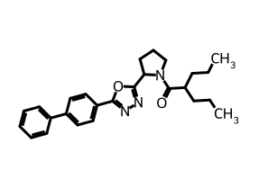 CCCC(CCC)C(=O)N1CCCC1c1nnc(-c2ccc(-c3ccccc3)cc2)o1